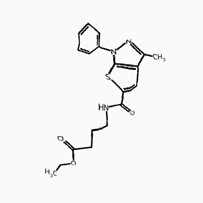 CCOC(=O)CCCNC(=O)c1cc2c(C)nn(-c3ccccc3)c2s1